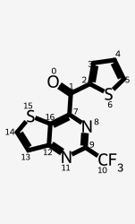 O=C(c1cccs1)c1nc(C(F)(F)F)nc2ccsc12